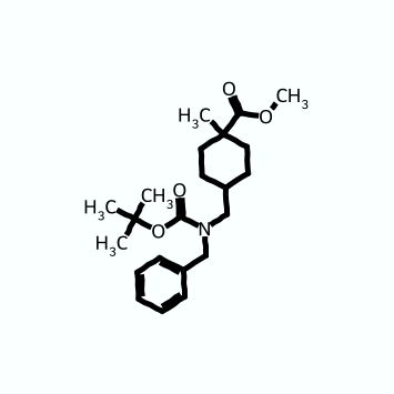 COC(=O)C1(C)CCC(CN(Cc2ccccc2)C(=O)OC(C)(C)C)CC1